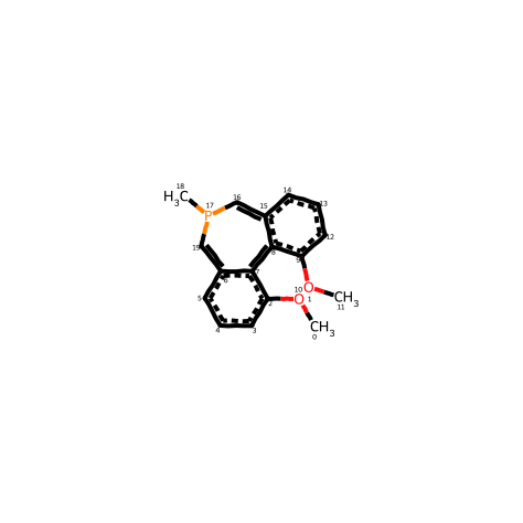 COc1cccc2c1=c1c(OC)cccc1=CP(C)C=2